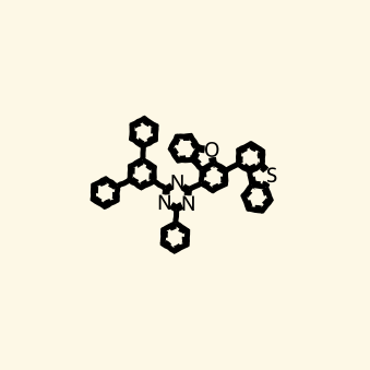 c1ccc(-c2cc(-c3ccccc3)cc(-c3nc(-c4ccccc4)nc(-c4ccc(-c5cccc6sc7ccccc7c56)c5oc6ccccc6c45)n3)c2)cc1